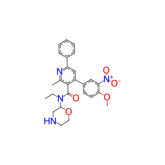 CCN(C(=O)c1c(-c2ccc(OC)c([N+](=O)[O-])c2)cc(-c2ccccc2)nc1C)C1CNCCO1